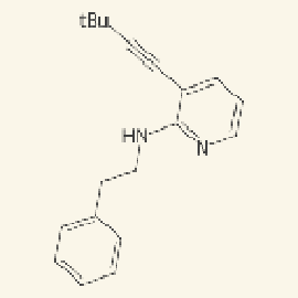 CC(C)(C)C#Cc1cccnc1NCCc1ccccc1